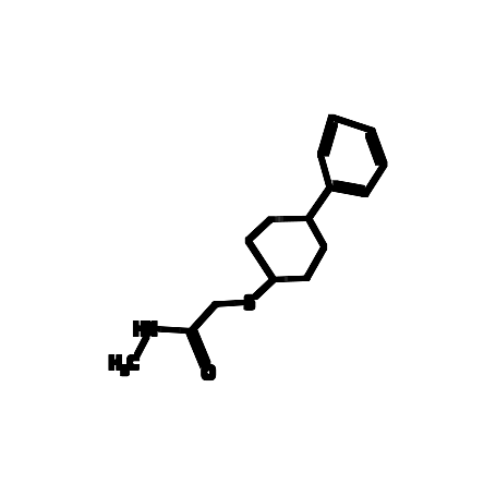 CNC(=O)CSC1CCC(c2ccccc2)CC1